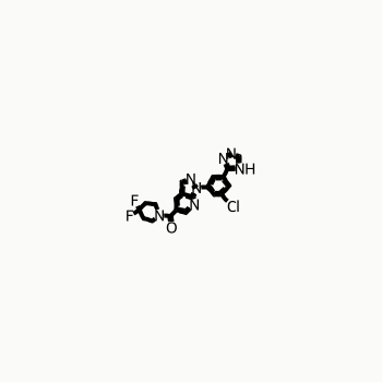 O=C(c1cnc2c(cnn2-c2cc(Cl)cc(-c3nnc[nH]3)c2)c1)N1CCC(F)(F)CC1